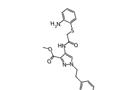 COC(=O)c1nn(CCc2ccccc2)cc1NC(=O)CSc1ccccc1N